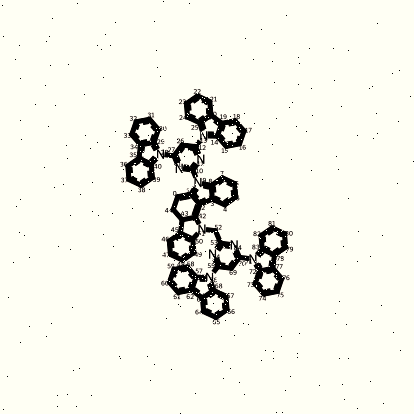 C1=c2c(c3ccccc3n2-c2nc(-n3c4ccccc4c4ccccc43)cc(-n3c4ccccc4c4ccccc43)n2)=C2C(C1)c1ccccc1N2Cc1nc(-n2c3ccccc3c3ccccc32)cc(-n2c3ccccc3c3ccccc32)n1